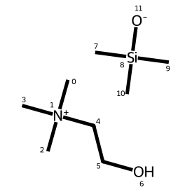 C[N+](C)(C)CCO.C[Si](C)(C)[O-]